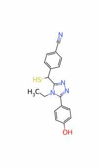 CCn1c(-c2ccc(O)cc2)nnc1C(S)c1ccc(C#N)cc1